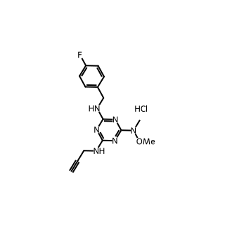 C#CCNc1nc(NCc2ccc(F)cc2)nc(N(C)OC)n1.Cl